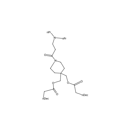 CCCCCCCCCCCC(=O)OCC1(COC(=O)CCCCCCCCCCC)CCN(C(=O)CCN(CCC)CCC)CC1